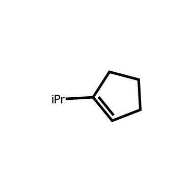 [CH2]C(C)C1=CCCC1